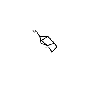 NC1C[C@@]23CCC2C1C3